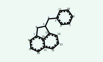 c1ccc(CC2Cc3cccc4cccc2c34)cc1